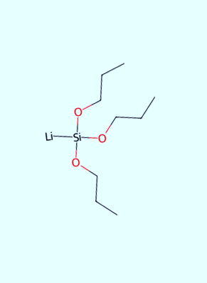 [Li][Si](OCCC)(OCCC)OCCC